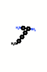 C=Cc1ccc(-c2ccc(-c3ccc(-c4cc(N)ccc4-c4ccc(N)cc4)cc3)cc2)cc1